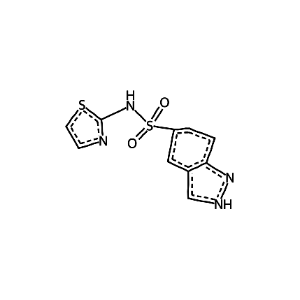 O=S(=O)(Nc1nccs1)c1ccc2n[nH]cc2c1